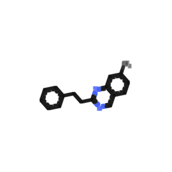 FC(F)(F)c1ccc2cnc(CCc3ccccc3)nc2c1